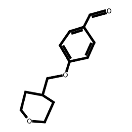 O=Cc1ccc(OCC2CCOCC2)cc1